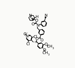 COc1ccc([C@H](Cc2c(Cl)c[n+]([O-])cc2Cl)OC(=O)c2cccc(CN(C(=O)O[C@H]3CN4CCC3CC4)c3cccc(C#N)c3)c2)cc1OC